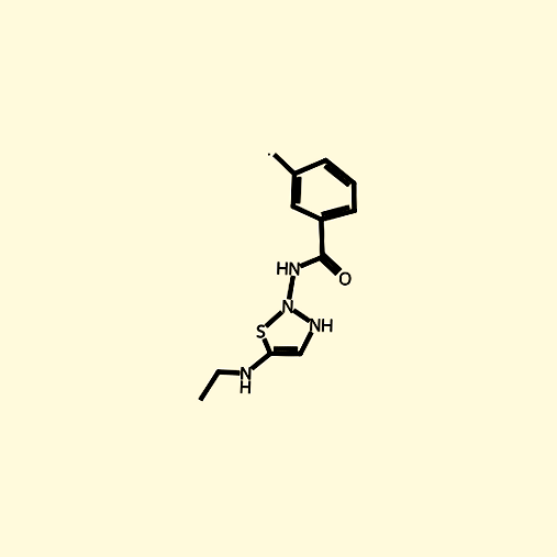 [CH2]c1cccc(C(=O)NN2NC=C(NCC)S2)c1